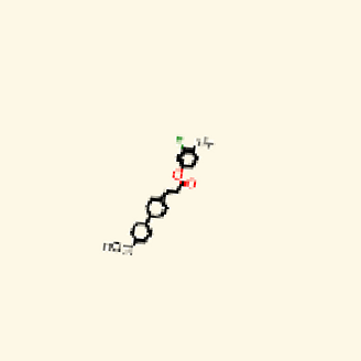 CCCCCCCCC1CCC(C2CCC(CCC(=O)Oc3ccc(CCC)c(F)c3)CC2)CC1